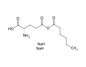 CCCCCC(=O)OC(=O)CC[C@H](N)C(=O)O.[NaH].[NaH]